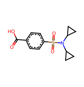 O=C(O)c1ccc(S(=O)(=O)N(C2CC2)C2CC2)cc1